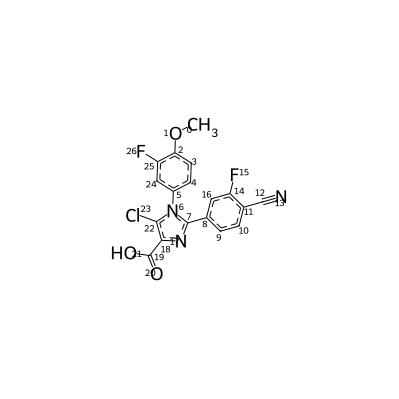 COc1ccc(-n2c(-c3ccc(C#N)c(F)c3)nc(C(=O)O)c2Cl)cc1F